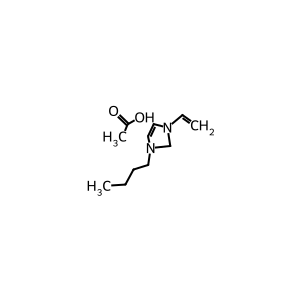 C=CN1C=CN(CCCC)C1.CC(=O)O